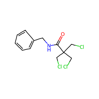 O=C(NCc1ccccc1)C(CCl)(CCl)CCl